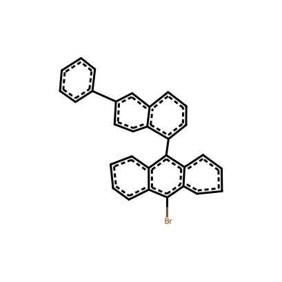 Brc1c2ccccc2c(-c2cccc3cc(-c4ccccc4)ccc23)c2ccccc12